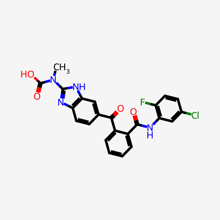 CN(C(=O)O)c1nc2ccc(C(=O)c3ccccc3C(=O)Nc3cc(Cl)ccc3F)cc2[nH]1